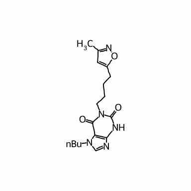 CCCCn1cnc2[nH]c(=O)n(CCCCc3cc(C)no3)c(=O)c21